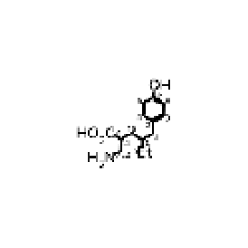 CCC(Cc1ccc(O)cc1)CC(CN)C(=O)O